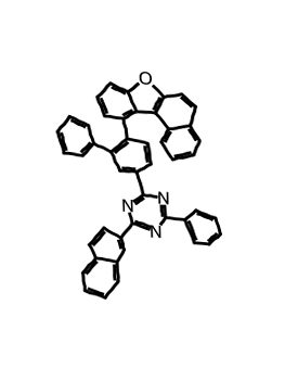 c1ccc(-c2nc(-c3ccc(-c4cccc5oc6ccc7ccccc7c6c45)c(-c4ccccc4)c3)nc(-c3ccc4ccccc4c3)n2)cc1